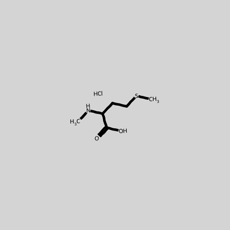 CNC(CCSC)C(=O)O.Cl